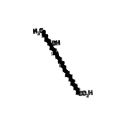 CC=CCC=CCC(O)CCCCCCCCCCCCCCCCCCCCCC(=O)O